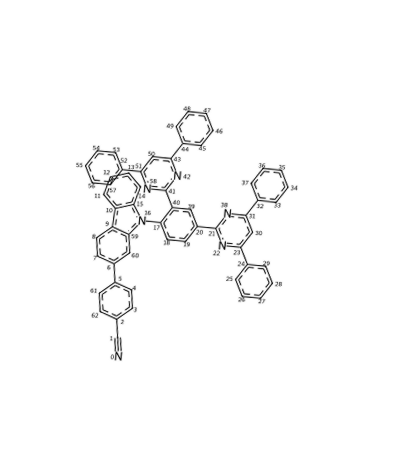 N#Cc1ccc(-c2ccc3c4ccccc4n(-c4ccc(-c5nc(-c6ccccc6)cc(-c6ccccc6)n5)cc4-c4nc(-c5ccccc5)cc(-c5ccccc5)n4)c3c2)cc1